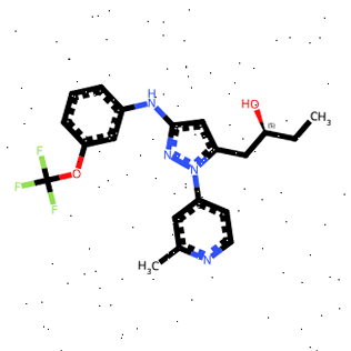 CC[C@H](O)Cc1cc(Nc2cccc(OC(F)(F)F)c2)nn1-c1ccnc(C)c1